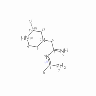 C/C(P)=N/C(=N)CN1CCN[C@H](C)C1